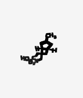 CC1=C[C@H]2[C@@H](C1)C[C@]2(CC(=O)O)C[N+](=O)[O-]